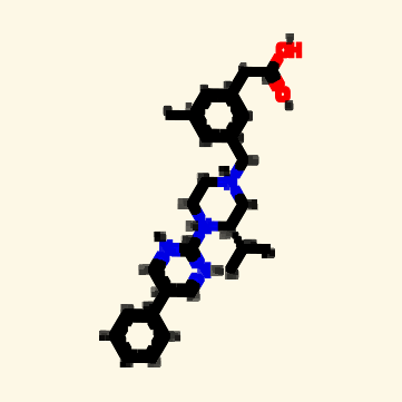 Cc1cc(CC(=O)O)cc(CN2CCN(c3ncc(-c4ccccc4)cn3)[C@@H](C(C)C)C2)c1